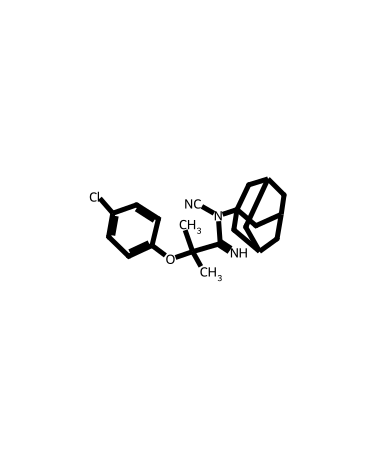 CC(C)(Oc1ccc(Cl)cc1)C(=N)N(C#N)C12CC3CC(CC(C3)C1)C2